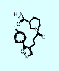 NC(=O)C1CCCN(C(=O)CCc2cnoc2-c2ccc(F)cc2)C1